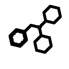 c1ccc(C[Si](C2CCCCC2)C2CCCCC2)cc1